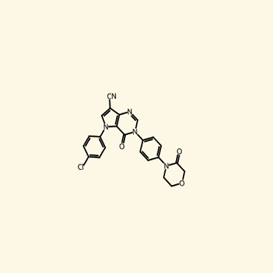 N#Cc1cn(-c2ccc(Cl)cc2)c2c(=O)n(-c3ccc(N4CCOCC4=O)cc3)cnc12